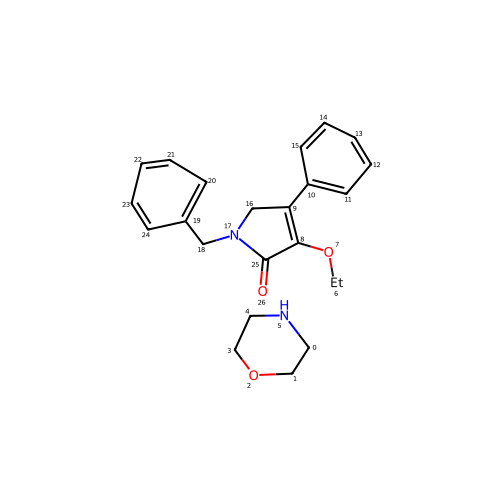 C1COCCN1.CCOC1=C(c2ccccc2)CN(Cc2ccccc2)C1=O